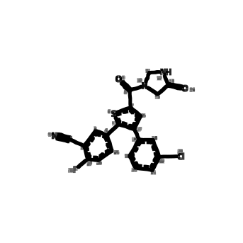 N#Cc1cc(-c2sc(C(=O)N3CNC(=O)C3)cc2-c2cccc(Cl)c2)ccc1F